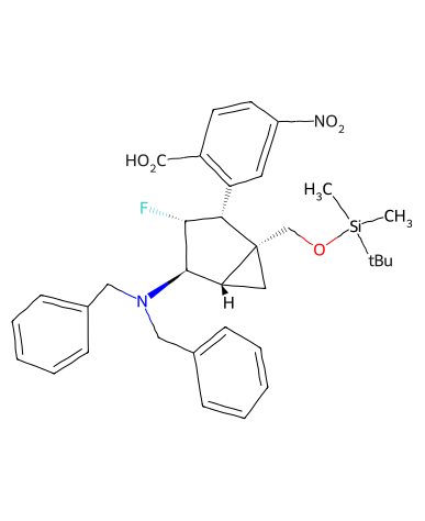 CC(C)(C)[Si](C)(C)OC[C@]12C[C@@H]1[C@@H](N(Cc1ccccc1)Cc1ccccc1)[C@H](F)[C@@H]2c1cc([N+](=O)[O-])ccc1C(=O)O